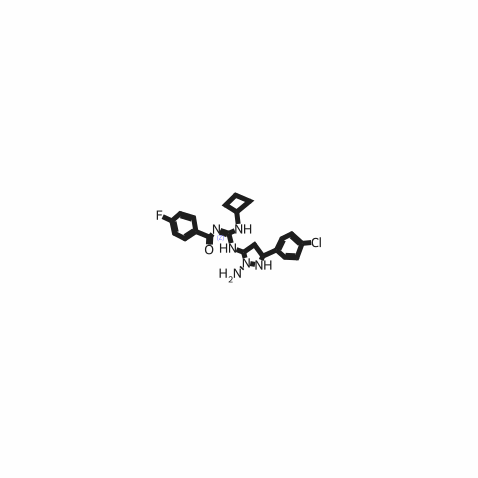 NN1NC(c2ccc(Cl)cc2)CC1N/C(=N\C(=O)c1ccc(F)cc1)NC1CCC1